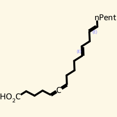 CCCCC/C=C/C/C=C/CCCC=C=CCCCC(=O)O